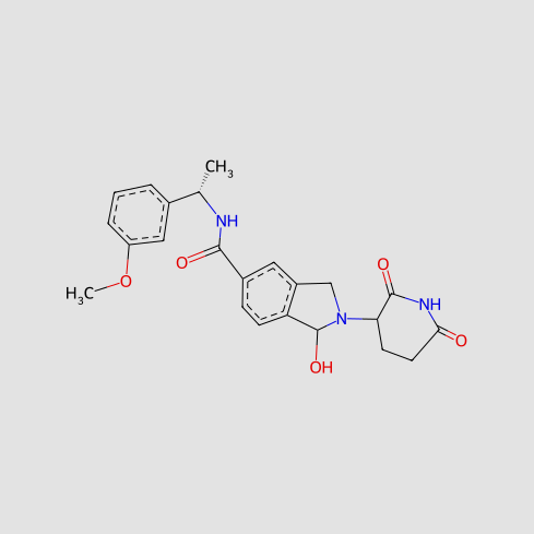 COc1cccc([C@H](C)NC(=O)c2ccc3c(c2)CN(C2CCC(=O)NC2=O)C3O)c1